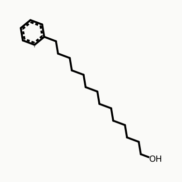 OCCCCCCCCCCCCCCc1[c]cccc1